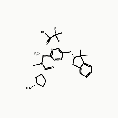 CN(C(=O)[C@@H]1CC[C@H](N)C1)[C@@H](c1ccc(N[C@H]2Cc3ccccc3C2(C)C)cn1)C(F)(F)F.O=C(O)C(F)(F)F